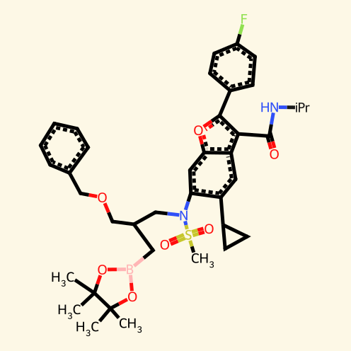 CC(C)NC(=O)c1c(-c2ccc(F)cc2)oc2cc(N(CC(COCc3ccccc3)CB3OC(C)(C)C(C)(C)O3)S(C)(=O)=O)c(C3CC3)cc12